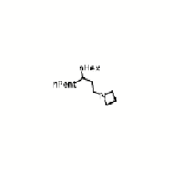 CCCCCCC(CCCCC)CCN1CCC1